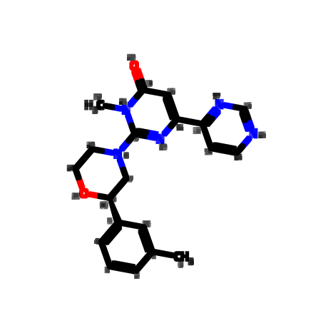 Cc1cccc([C@@H]2CN(c3nc(-c4ccncn4)cc(=O)n3C)CCO2)c1